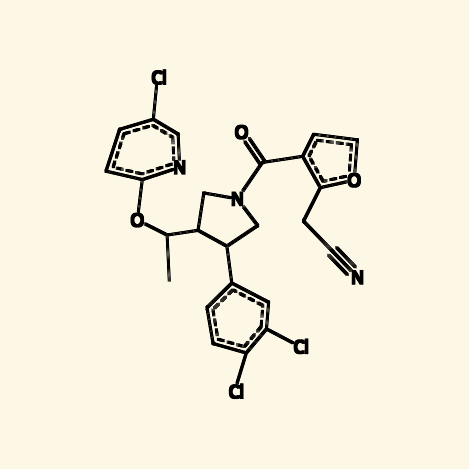 CC(Oc1ccc(Cl)cn1)C1CN(C(=O)c2ccoc2CC#N)CC1c1ccc(Cl)c(Cl)c1